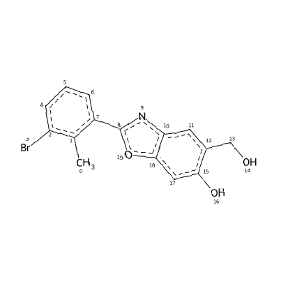 Cc1c(Br)cccc1-c1nc2cc(CO)c(O)cc2o1